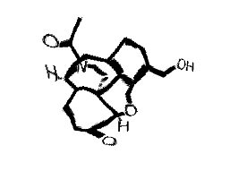 CC(=O)N1CC[C@]23c4c5ccc(CO)c4O[C@H]2C(=O)CCC3[C@H]1C5